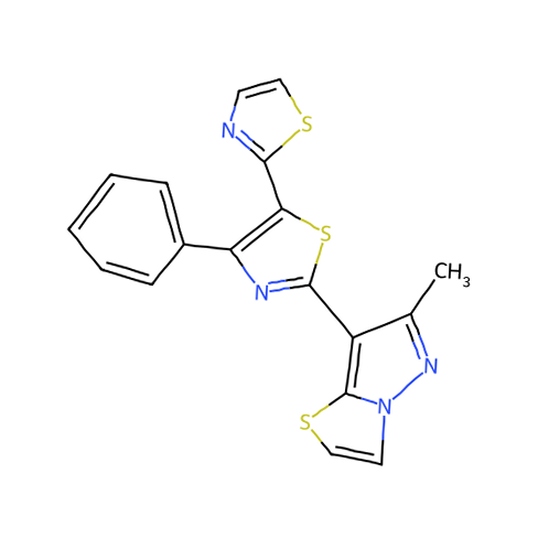 Cc1nn2ccsc2c1-c1nc(-c2ccccc2)c(-c2nccs2)s1